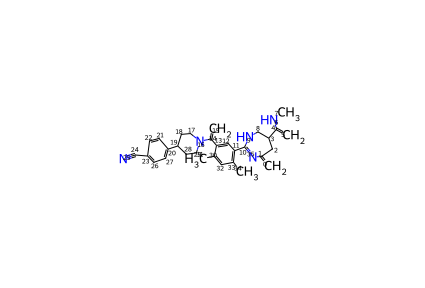 C=C1CC(C(=C)NC)CNC(c2cc(C(=C)N3CCC(c4ccc(C#N)cc4)CC3)c(C)cc2C)=N1